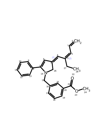 C=C/C=C(\C=C1\C=C(c2ccccc2)N(Cc2cccc(C(=O)OC)c2)C1)CC